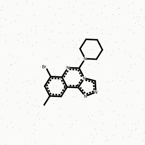 Cc1cc(Br)c2nc(N3CCCCC3)n3cnnc3c2c1